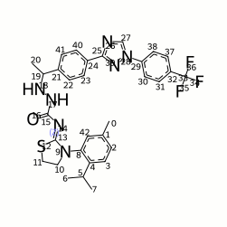 Cc1ccc(C(C)C)c(N2CCS/C2=N\C(=O)NNC(C)c2ccc(-c3ncn(-c4ccc(C(F)(F)F)cc4)n3)cc2)c1